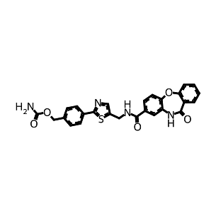 NC(=O)OCc1ccc(-c2ncc(CNC(=O)c3ccc4c(c3)NC(=O)c3ccccc3O4)s2)cc1